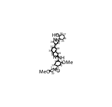 COc1cc(C(=O)N2CC(OC)C2)ccc1Nc1cc2cc(-c3cnn(C4CCCCC4O)c3)ccc2cn1